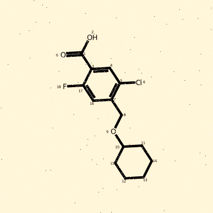 O=C(O)c1cc(Cl)c(COC2CCCCC2)cc1F